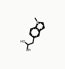 CCCC(O)Cc1ccc2c(ccn2C)c1